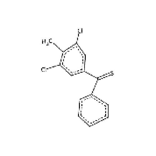 Cc1c(Cl)cc(C(=S)c2ccccc2)cc1Cl